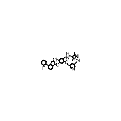 Cc1n[nH]c(C)c1CNCc1cc(Cl)c(O[C@H]2CCc3c(-c4ccccc4F)cccc32)cc1OCc1cncc(C#N)c1